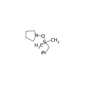 CC(C)C[Si](C)(C)ON1CCCC1